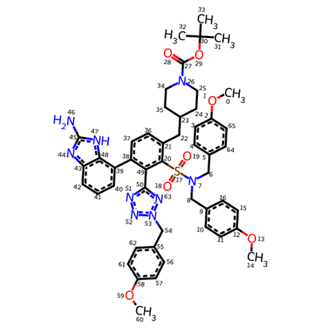 COc1ccc(CN(Cc2ccc(OC)cc2)S(=O)(=O)c2c(CC3CCN(C(=O)OC(C)(C)C)CC3)ccc(-c3cccc4nc(N)[nH]c34)c2-c2nnn(Cc3ccc(OC)cc3)n2)cc1